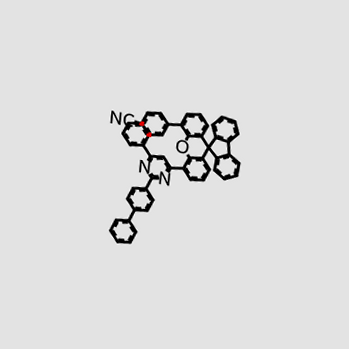 N#Cc1ccc(-c2cccc3c2Oc2c(-c4cc(-c5ccccc5)nc(-c5ccc(-c6ccccc6)cc5)n4)cccc2C32c3ccccc3-c3ccccc32)cc1